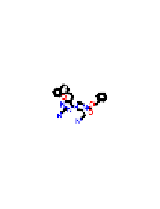 N#CC[C@H]1CN(c2nc(C#N)nc3c2CCC2(CCCc4ccccc42)O3)CCN1C(=O)OCc1ccccc1